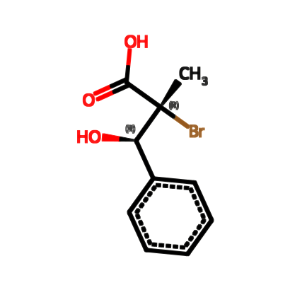 C[C@](Br)(C(=O)O)[C@H](O)c1ccccc1